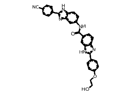 N#Cc1ccc(-c2nc3cc(NC(=O)c4ccc5nc(-c6ccc(OCCO)cc6)[nH]c5c4)ccc3[nH]2)cc1